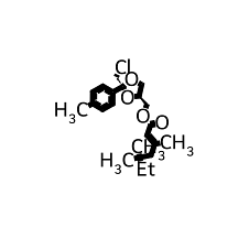 CCC(C)(C)C/C(C)=C/C(=O)OC[C@@H]1CO[C@](CCl)(c2ccc(C)cc2)O1